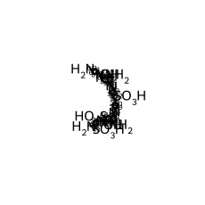 Nc1ccc(N=Nc2ccc3c(N=Nc4ccc(/C=C/c5ccc(N=Nc6ccc(N)c7c(O)c(N=Nc8ccc(N)c(S(=O)(=O)O)c8)c(S(=O)(=O)O)cc67)cc5)c(S(=O)(=O)O)c4)ccc(N)c3c2O)cc1